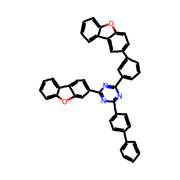 c1ccc(-c2ccc(-c3nc(-c4cccc(-c5ccc6oc7ccccc7c6c5)c4)nc(-c4ccc5c(c4)oc4ccccc45)n3)cc2)cc1